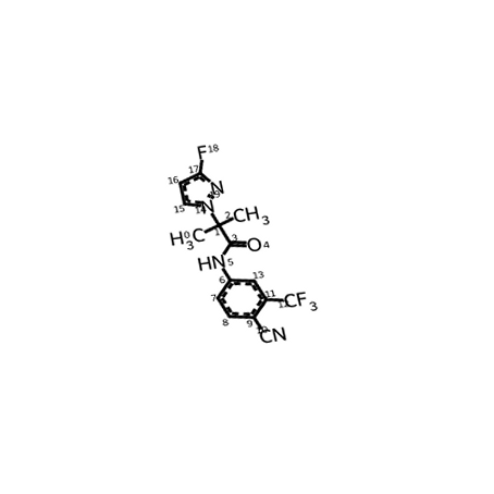 CC(C)(C(=O)Nc1ccc(C#N)c(C(F)(F)F)c1)n1ccc(F)n1